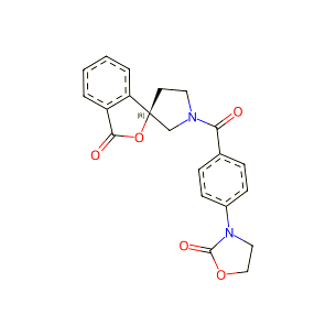 O=C1O[C@]2(CCN(C(=O)c3ccc(N4CCOC4=O)cc3)C2)c2ccccc21